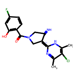 CC1=N/C(=C2\CN(C(=O)c3ccc(F)cc3O)CC2=N)NC(C)=C1Cl